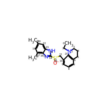 CCN1CCCc2cccc(C[S+]([O-])c3nc4c(C)cc(C)cc4[nH]3)c21